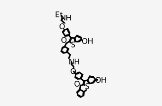 CCNCCOc1ccc(-c2c(C(=O)c3cccc(CCNCCOc4ccc(-c5c(C(=O)c6ccccc6C)sc6cc(O)ccc56)cc4)c3)sc3cc(O)ccc23)cc1